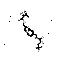 Cc1nonc1C(=O)NCc1cn2ncc(CNC(=O)[C@H](C)CC(F)(F)F)cc2n1